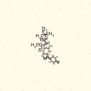 COC(=O)C12Cc3cnn(-c4ccc(F)cc4)c3CC1CCN(C(=O)OC(C)(C)C)C2